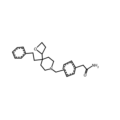 NC(=O)Cc1ccc(CN2CCC(CCc3ccccc3)(C3CCO3)CC2)cc1